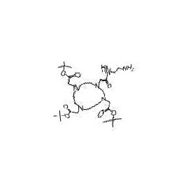 CC(C)(C)OC(=O)CN1CCN(CC(=O)NCCN)CCN(CC(=O)OC(C)(C)C)CCN(CC(=O)OC(C)(C)C)CC1